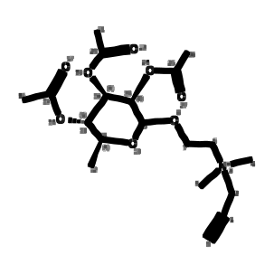 C#CC[N+](C)(C)CCOC1O[C@@H](C)[C@H](OC(C)=O)[C@@H](OC(C)=O)[C@H]1OC(C)=O